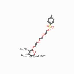 CC(=O)N[C@H]1[C@H](OCCOCCOCCOS(=O)(=O)c2ccc(C)cc2)O[C@H](COC(C)=O)[C@H](C)[C@@H]1OC(C)=O